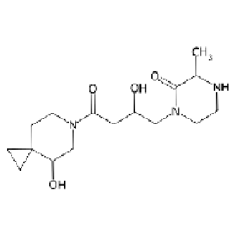 CC1NCCN(CC(O)CC(=O)N2CCC3(CC3)C(O)C2)C1=O